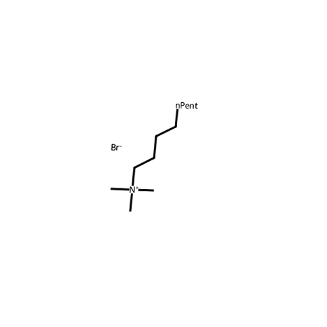 CCCCCCCCC[N+](C)(C)C.[Br-]